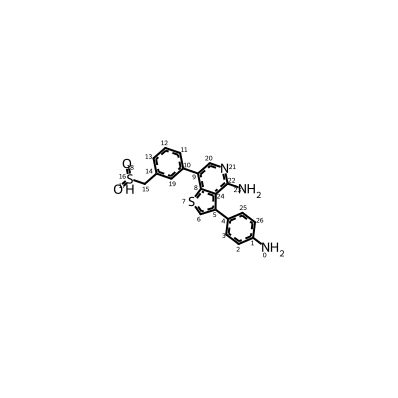 Nc1ccc(-c2csc3c(-c4cccc(C[SH](=O)=O)c4)cnc(N)c23)cc1